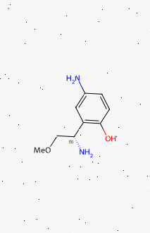 COC[C@@H](N)c1cc(N)ccc1O